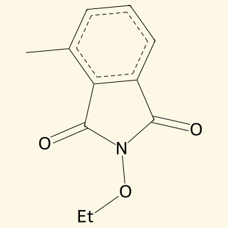 CCON1C(=O)c2cccc(C)c2C1=O